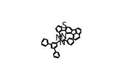 c1ccc(-c2cc(-c3ccccc3)cc(-c3nc(-c4ccccc4)nc(-c4cccc5sc6cc7c(cc6c45)-c4cccc5cccc-7c45)n3)c2)cc1